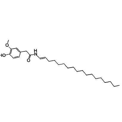 CCCCCCCCCCCCCCCC/C=C/NC(=O)Cc1ccc(O)c(OC)c1